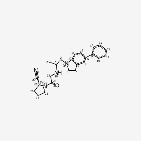 CC(CN1CCc2cc(-c3ccccc3)ccc21)NCC(=O)N1CCC[C@H]1C#N